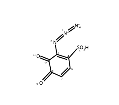 [N-]=[N+]=NC1=C(S(=O)(=O)O)C=CC(=O)C1=O